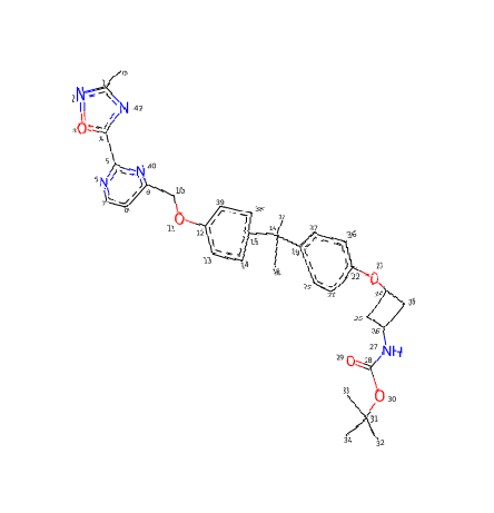 Cc1noc(-c2nccc(COc3ccc(C(C)(C)c4ccc(OC5CC(NC(=O)OC(C)(C)C)C5)cc4)cc3)n2)n1